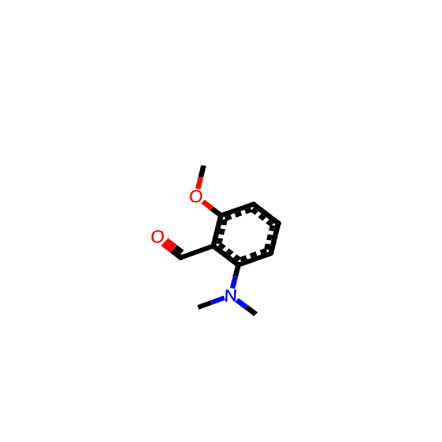 COc1cccc(N(C)C)c1C=O